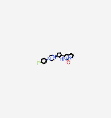 O=c1[nH]c(C2=C[C@H](N3CCN(c4ccc(F)cc4)CC3)CC2)cc2cccn12